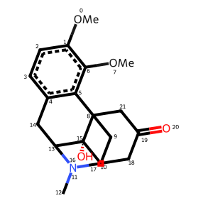 COc1ccc2c(c1OC)C13CCN(C)C(C2)[C@]1(O)CCC(=O)C3